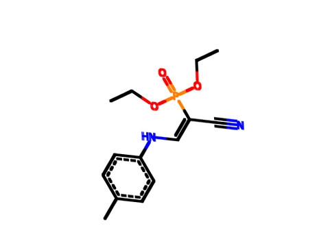 CCOP(=O)(OCC)C(C#N)=CNc1ccc(C)cc1